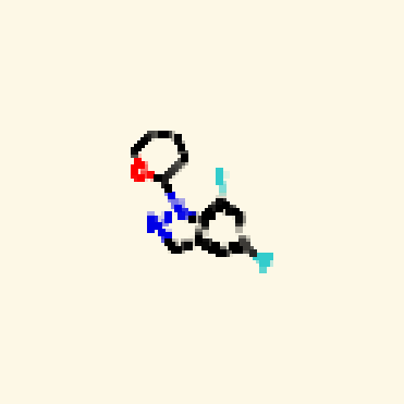 Fc1cc(F)c2c(cnn2C2CCCCO2)c1